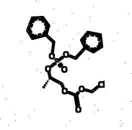 C[C@@H](COC(=O)OCCl)OP(=O)(OCc1ccccc1)OCc1ccccc1